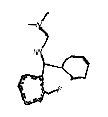 CN(C)CNC(c1ccccc1F)C1CCCCC1